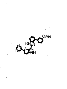 COc1cccc(-c2cccc3[nH]c(-c4n[nH]c5ccc(-c6cncnc6)nc45)nc23)c1